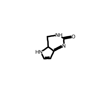 O=C1N=C2C=CNC2CN1